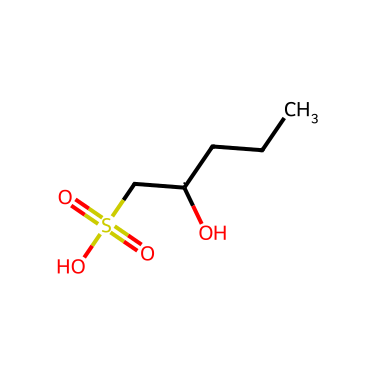 CCC[C](O)CS(=O)(=O)O